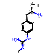 C/N=C(\N)Nc1ccc(C[C@H](N)C(=O)O)cc1